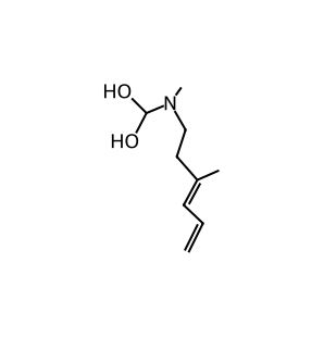 C=C/C=C(\C)CCN(C)C(O)O